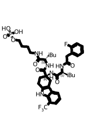 CCC(C)[C@H](NC(=O)Cc1ccccc1F)C(=O)N[C@]1(C(=O)N[C@H](C(=O)NCCCCOP(=O)(O)O)C(C)CC)CCc2[nH]c3c(C(F)(F)F)cccc3c2C1